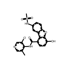 Cc1cncc(Cl)c1NC(=O)c1ccc(O)c2oc3ccc(NS(C)(=O)=O)cc3c12